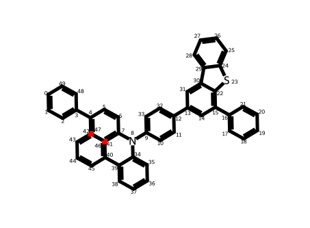 c1ccc(-c2ccc(N(c3ccc(-c4cc(-c5ccccc5)c5sc6ccccc6c5c4)cc3)c3ccccc3-c3ccccc3)cc2)cc1